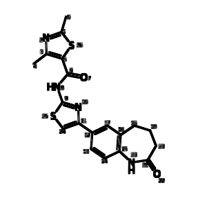 Cc1nc(C)c(C(=O)Nc2nc(-c3ccc4c(c3)CCCC(=O)N4)cs2)s1